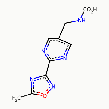 O=C(O)NCc1cnc(-c2noc(C(F)(F)F)n2)nc1